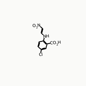 O=C(O)c1cc(Cl)ccc1NC=C[N+](=O)[O-]